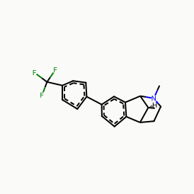 C[C@H]1C2CCN(C)C1c1cc(-c3ccc(C(F)(F)F)cc3)ccc12